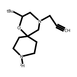 [2H]N1CCC2(CC1)CN(CC#C)CC(C(C)(C)C)O2